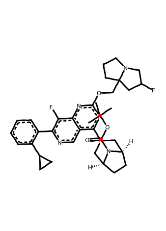 CC(C)(C)OC(=O)N1[C@@H]2CC[C@H]1CN(c1nc(OCC34CCCN3CC(F)C4)nc3c(F)c(-c4ccccc4C4CC4)ncc13)C2